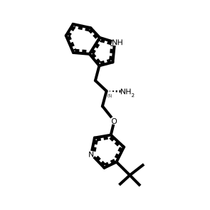 CC(C)(C)c1cncc(OC[C@@H](N)Cc2c[nH]c3ccccc23)c1